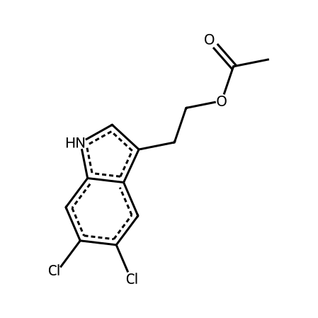 CC(=O)OCCc1c[nH]c2cc(Cl)c(Cl)cc12